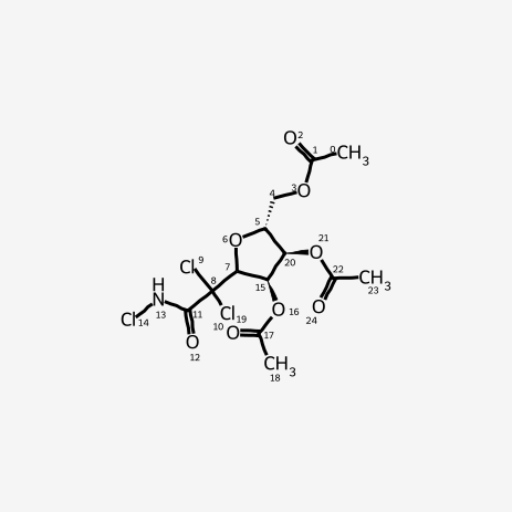 CC(=O)OC[C@H]1OC(C(Cl)(Cl)C(=O)NCl)[C@H](OC(C)=O)[C@@H]1OC(C)=O